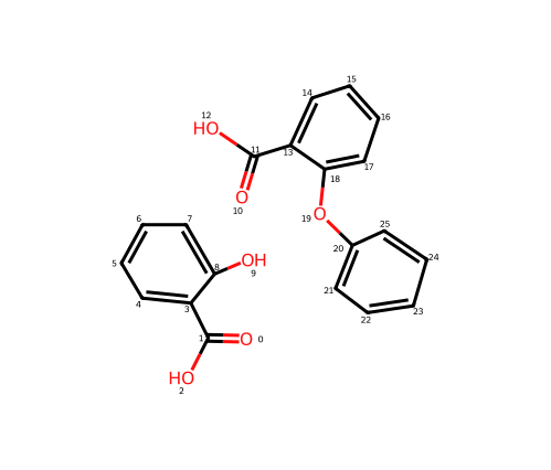 O=C(O)c1ccccc1O.O=C(O)c1ccccc1Oc1ccccc1